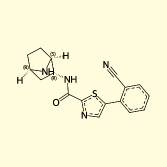 N#Cc1ccccc1-c1cnc(C(=O)N[C@@H]2C[C@H]3CC[C@@H]2N3)s1